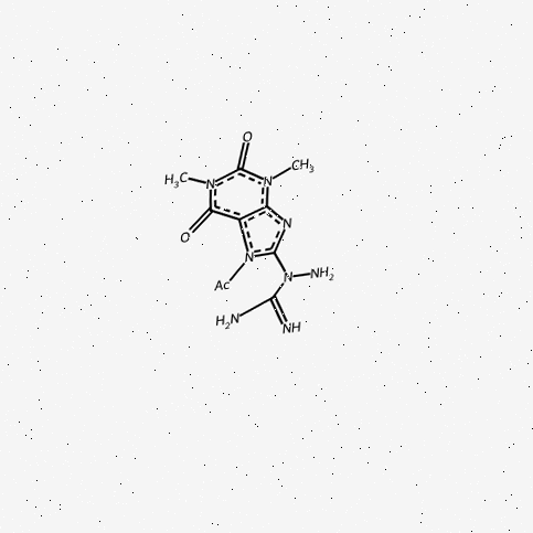 CC(=O)n1c(N(N)C(=N)N)nc2c1c(=O)n(C)c(=O)n2C